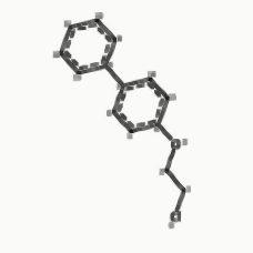 ClCCOc1ccc(-c2ccccc2)cc1